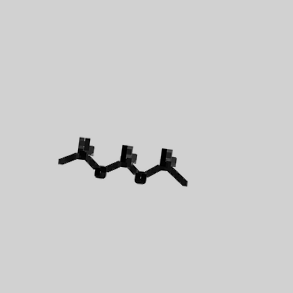 C[SiH2]O[SiH2]O[SiH2]C